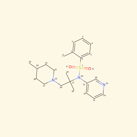 [CH]c1ccccc1S(=O)(=O)N(c1cccnc1)C(C)(C)CN1CCC(C)CC1